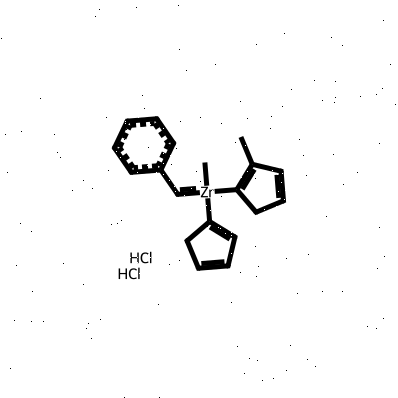 CC1=[C]([Zr]([CH3])(=[CH]c2ccccc2)[C]2=CC=CC2)CC=C1.Cl.Cl